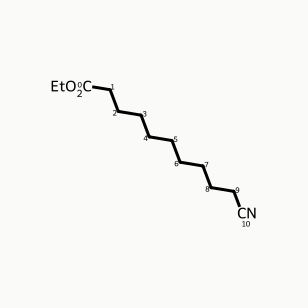 CCOC(=O)CCCCCCCCCC#N